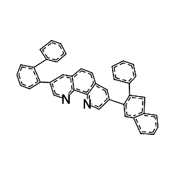 c1ccc(-c2ccccc2-c2cnc3c(ccc4cc(-c5cc6ccccc6cc5-c5ccccc5)cnc43)c2)cc1